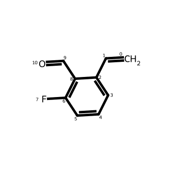 C=Cc1cccc(F)c1C=O